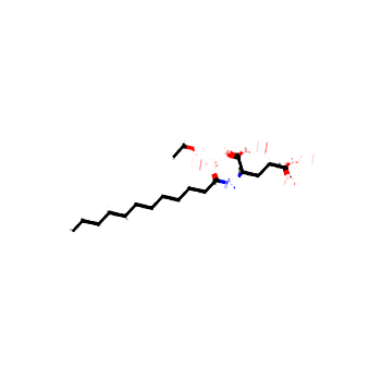 CCCCCCCCCCCC(=O)NC(CCC(=O)O)C(=O)O.CCO